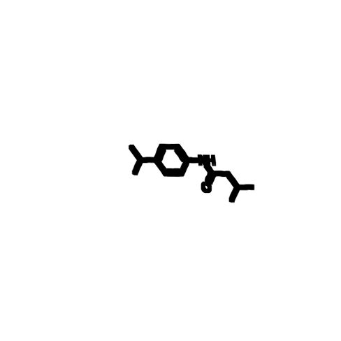 CC(C)CC(=O)Nc1ccc(C(C)C)cc1